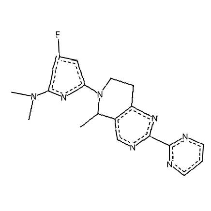 CC1c2cnc(-c3ncccn3)nc2CCN1c1cc(F)cc(N(C)C)n1